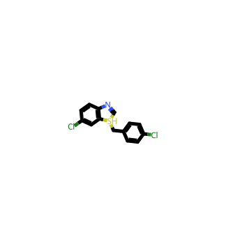 Clc1ccc(C[SH]2C=Nc3ccc(Cl)cc32)cc1